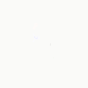 Cc1c(Cl)cccc1CNC=O